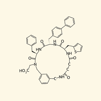 O=C(O)CN1Cc2cccc(c2)CNC(=O)CCC(=O)N[C@H](Cc2cccs2)C(=O)N[C@@H](Cc2ccc(-c3ccccc3)cc2)C(=O)N[C@H](Cc2ccccc2)C1=O